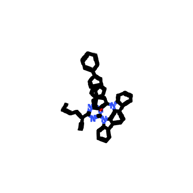 C#C/C(=C\C=C/C)c1nc(-c2ccccc2)nc(-n2c3ccccc3c3ccc4c5ccccc5n(C5=CCCC(c6ccc(-c7ccccc7)cc6)=C5)c4c32)n1